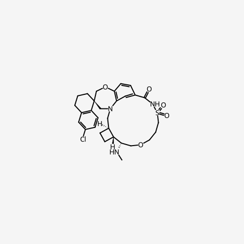 CN[C@H]1COCCCS(=O)(=O)NC(=O)c2ccc3c(c2)N(C[C@@H]2CC[C@H]21)C[C@@]1(CCCc2cc(Cl)ccc21)CO3